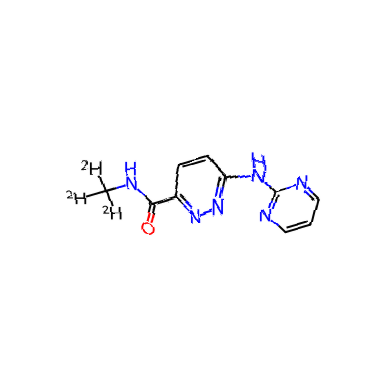 [2H]C([2H])([2H])NC(=O)c1ccc(Nc2ncccn2)nn1